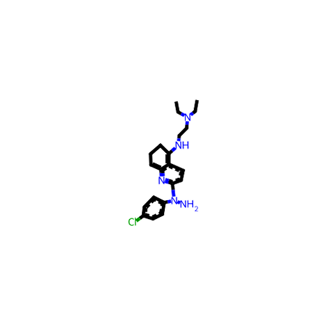 CCN(CC)CCNC1=c2ccc(N(N)c3ccc(Cl)cc3)nc2=CCC1